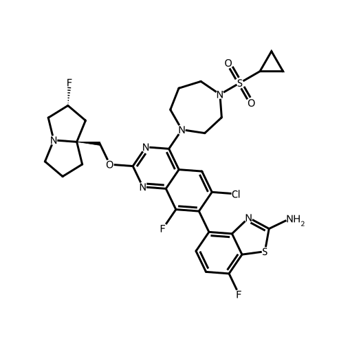 Nc1nc2c(-c3c(Cl)cc4c(N5CCCN(S(=O)(=O)C6CC6)CC5)nc(OC[C@@]56CCCN5C[C@H](F)C6)nc4c3F)ccc(F)c2s1